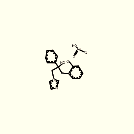 O=[N+]([O-])O.OC(Cc1ccccc1Cl)(Cn1ccnc1)c1ccccc1